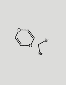 BrCBr.C1=COC=CO1